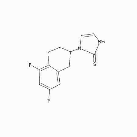 Fc1cc(F)c2c(c1)CC(n1cc[nH]c1=S)CC2